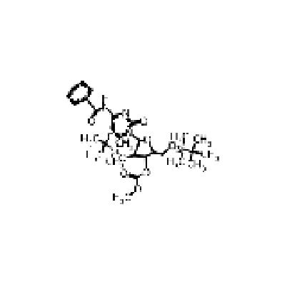 COC(=O)OC1C(CO[Si](C)(C)C(C)(C)C)OC(n2ccc(NC(=O)c3ccccc3)nc2=O)C1O[Si](C)(C)C(C)(C)C